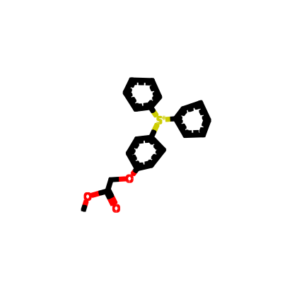 COC(=O)COc1ccc([S+](c2ccccc2)c2ccccc2)cc1